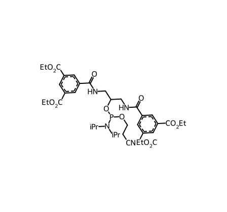 CCOC(=O)c1cc(C(=O)NCC(CNC(=O)c2cc(C(=O)OCC)cc(C(=O)OCC)c2)OP(OCCC#N)N(C(C)C)C(C)C)cc(C(=O)OCC)c1